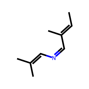 C/C=C(C)/C=N\C=C(C)C